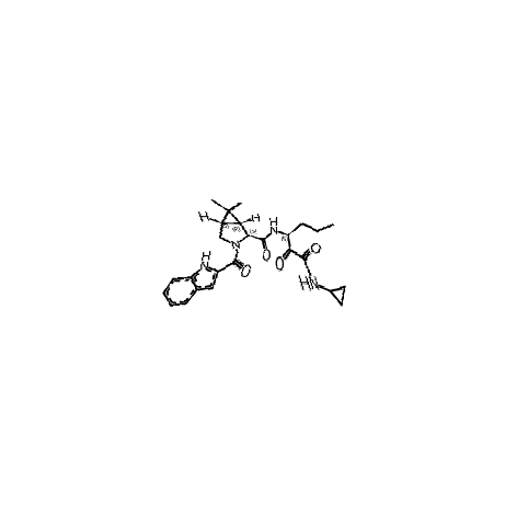 CCC[C@H](NC(=O)[C@@H]1[C@@H]2[C@H](CN1C(=O)c1cc3ccccc3[nH]1)C2(C)C)C(=O)C(=O)NC1CC1